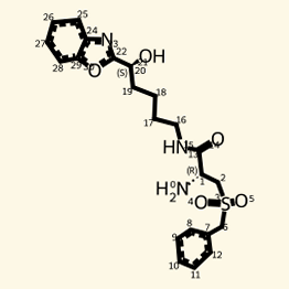 N[C@@H](CS(=O)(=O)Cc1ccccc1)C(=O)NCCCC[C@H](O)c1nc2ccccc2o1